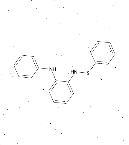 c1ccc(Nc2ccccc2NSc2ccccc2)cc1